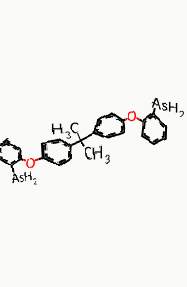 CC(C)(c1ccc(Oc2ccccc2[AsH2])cc1)c1ccc(Oc2ccccc2[AsH2])cc1